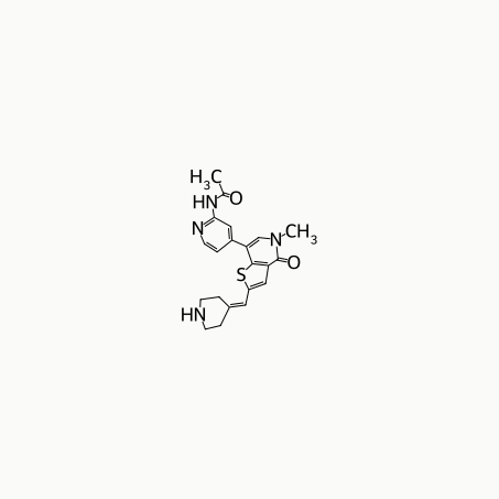 CC(=O)Nc1cc(-c2cn(C)c(=O)c3cc(C=C4CCNCC4)sc23)ccn1